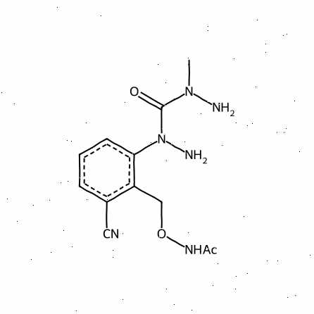 CC(=O)NOCc1c(C#N)cccc1N(N)C(=O)N(C)N